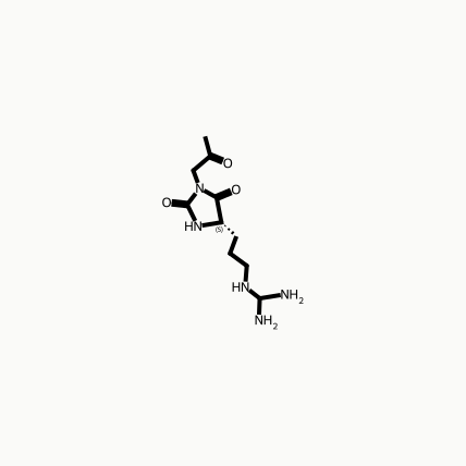 CC(=O)CN1C(=O)N[C@@H](CCCNC(N)N)C1=O